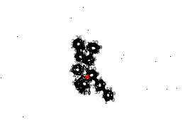 c1ccc(-c2ccc(-c3ccc(N(c4ccc(-c5ccccc5-n5c6ccccc6c6ccccc65)cc4)c4ccccc4[C@]45CC6C[C@H]7CC(C4)[C@H]7C65)cc3)cc2)cc1